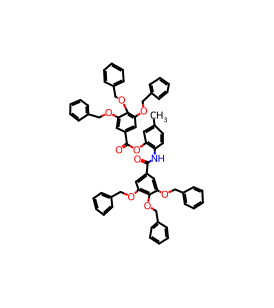 Cc1ccc(NC(=O)c2cc(OCc3ccccc3)c(OCc3ccccc3)c(OCc3ccccc3)c2)c(OC(=O)c2cc(OCc3ccccc3)c(OCc3ccccc3)c(OCc3ccccc3)c2)c1